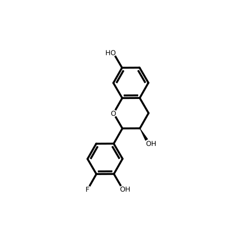 Oc1ccc2c(c1)OC(c1ccc(F)c(O)c1)[C@H](O)C2